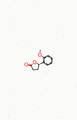 COc1ccccc1[C@H]1CCC(=O)O1